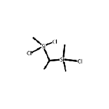 CC([Si](C)(C)Cl)[Si](C)(Cl)Cl